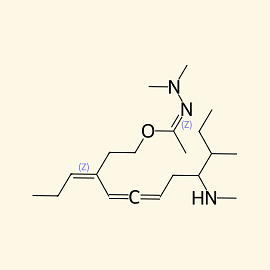 CC/C=C(\C=C=CCC(NC)C(C)CC)CCO/C(C)=N\N(C)C